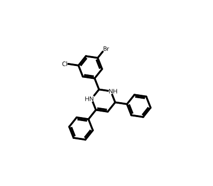 Clc1cc(Br)cc(C2NC(c3ccccc3)=CC(c3ccccc3)N2)c1